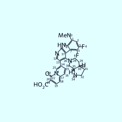 CNc1cc(F)c(F)c2c1[nH]c1ncc(-c3ccc4ccc(C(=O)O)c(=O)n4c3)c(N3CC[C@@H]4CCN(C)[C@@H]4C3)c12